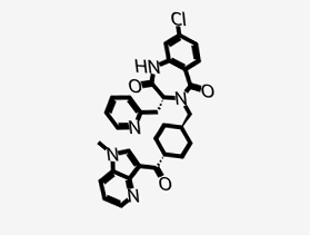 Cn1cc(C(=O)[C@H]2CC[C@H](CN3C(=O)c4ccc(Cl)cc4NC(=O)[C@H]3Cc3ccccn3)CC2)c2ncccc21